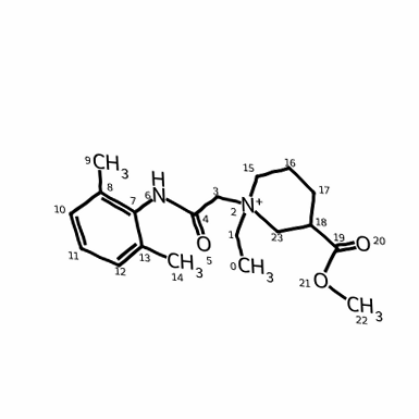 CC[N+]1(CC(=O)Nc2c(C)cccc2C)CCCC(C(=O)OC)C1